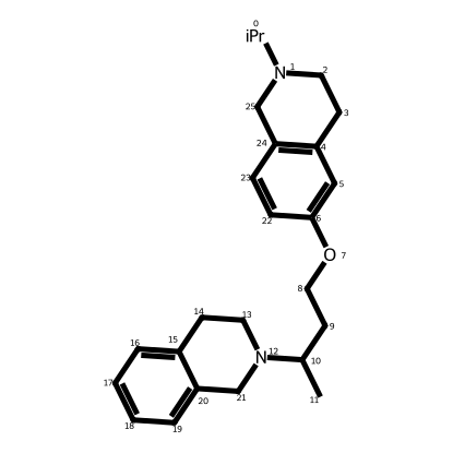 CC(C)N1CCc2cc(OCCC(C)N3CCc4ccccc4C3)ccc2C1